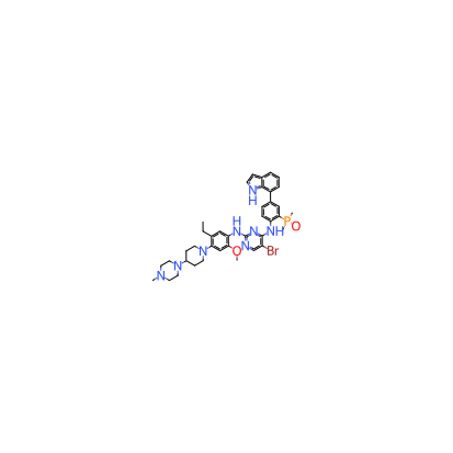 CCc1cc(Nc2ncc(Br)c(Nc3ccc(-c4cccc5cc[nH]c45)cc3P(C)(C)=O)n2)c(OC)cc1N1CCC(N2CCN(C)CC2)CC1